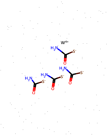 NC(=O)[S-].NC(=O)[S-].NC(=O)[S-].NC(=O)[S-].[W+4]